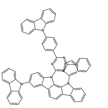 c1ccc(-c2nc(-c3ccc(-n4c5ccccc5c5ccccc54)cc3)nc(-n3c4ccc(-n5c6ccccc6c6ccccc65)cc4c4ccc5c6ccccc6n(-c6ccccc6)c5c43)n2)cc1